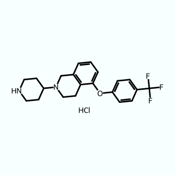 Cl.FC(F)(F)c1ccc(Oc2cccc3c2CCN(C2CCNCC2)C3)cc1